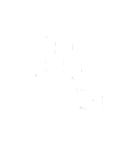 CC(C)OC(=O)c1c(Cl)ccc(C(=O)c2cc(C3(C)CC3)on2)c1Cl